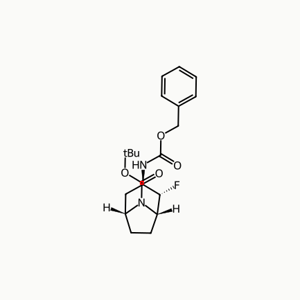 CC(C)(C)OC(=O)N1[C@@H]2CC[C@H]1[C@@H](F)[C@H](NC(=O)OCc1ccccc1)C2